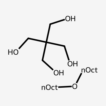 CCCCCCCCOCCCCCCCC.OCC(CO)(CO)CO